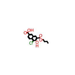 CCCCOC(=O)c1cc2cc(C(=O)O)ccc2c(Cl)c1O